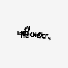 CCOc1ccncc1C(O)C1CCN(c2ccc(C(F)(F)F)nc2)CC1